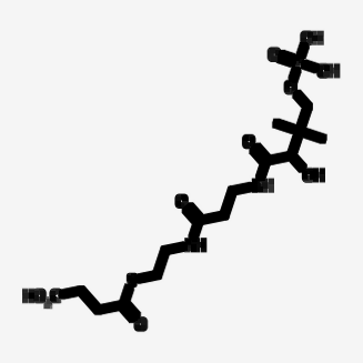 CC(C)(COP(=O)(O)O)C(O)C(=O)NCCC(=O)NCCSC(=O)CCC(=O)O